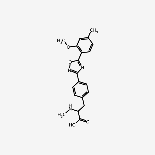 CNC(Cc1ccc(-c2noc(-c3ccc(C)cc3OC)n2)cc1)C(=O)O